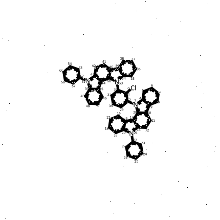 Clc1c(-n2c3ccccc3c3ccc4c(c5ccccc5n4-c4ccccc4)c32)cccc1-n1c2ccccc2c2ccc3c(c4ccccc4n3-c3ccccc3)c21